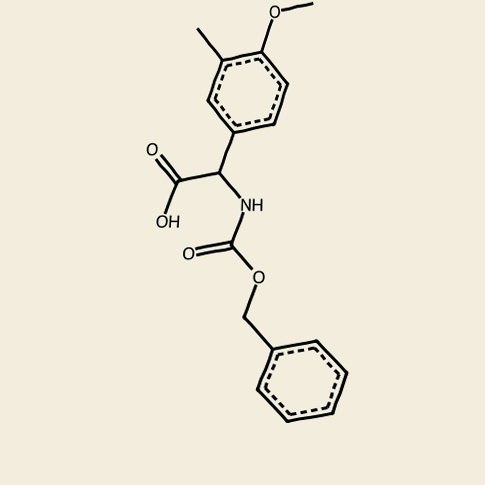 COc1ccc(C(NC(=O)OCc2ccccc2)C(=O)O)cc1C